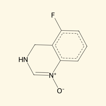 [O-][N+]1=CNCc2c(F)cccc21